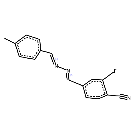 Cc1ccc(/C=N/N=C/c2ccc(C#N)c(F)c2)cc1